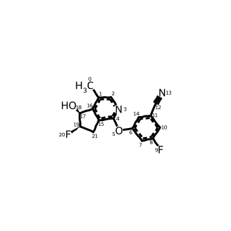 Cc1cnc(Oc2cc(F)cc(C#N)c2)c2c1[C@H](O)[C@H](F)C2